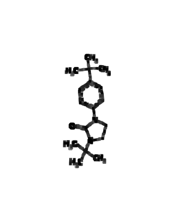 CC(C)(C)c1ccc(N2CCN(C(C)(C)C)C2=O)cc1